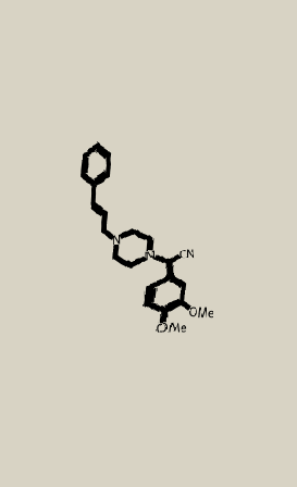 COc1ccc(C(C#N)N2CCN(C/C=C/c3ccccc3)CC2)cc1OC